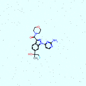 CC(O)(CF)c1ccc2c(C(=O)N3CCOCC3)nn(-c3ccnc(N)n3)c2c1